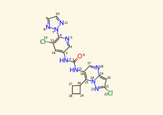 O=C(Nc1cnc(-n2nccn2)c(Cl)c1)Nc1cnc2cc(Cl)nn2c1C1CCC1